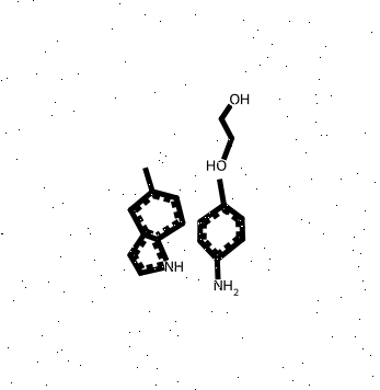 Cc1ccc(N)cc1.Cc1ccc2[nH]ccc2c1.OCCO